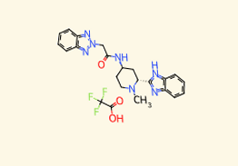 CN1CC[C@@H](NC(=O)Cn2nc3ccccc3n2)C[C@@H]1c1nc2ccccc2[nH]1.O=C(O)C(F)(F)F